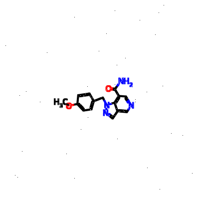 COc1ccc(Cn2ncc3cncc(C(N)=O)c32)cc1